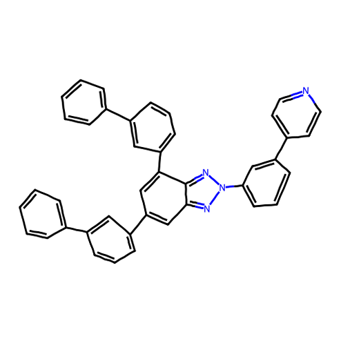 c1ccc(-c2cccc(-c3cc(-c4cccc(-c5ccccc5)c4)c4nn(-c5cccc(-c6ccncc6)c5)nc4c3)c2)cc1